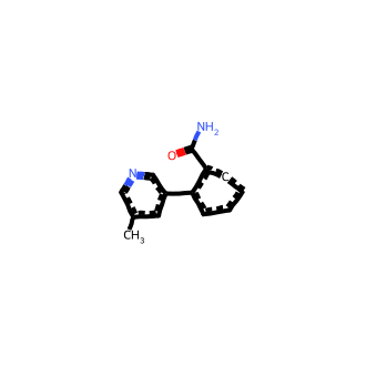 Cc1cncc(-c2ccccc2C(N)=O)c1